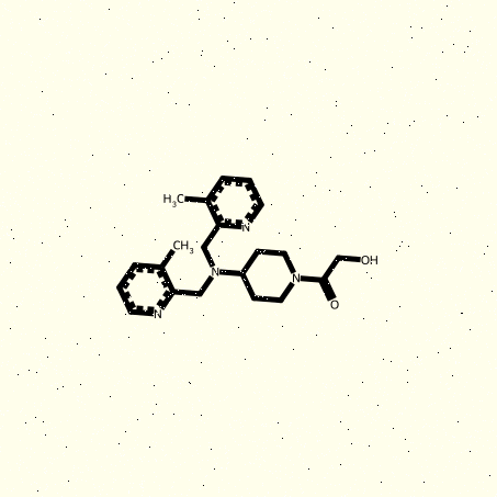 Cc1cccnc1CN(Cc1ncccc1C)C1CCN(C(=O)CO)CC1